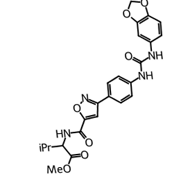 COC(=O)C(NC(=O)c1cc(-c2ccc(NC(=O)Nc3ccc4c(c3)OCO4)cc2)no1)C(C)C